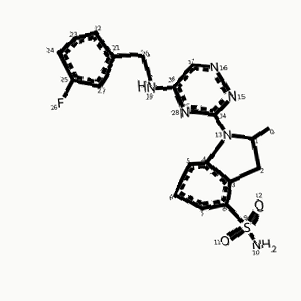 CC1Cc2c(cccc2S(N)(=O)=O)N1c1nncc(NCc2cccc(F)c2)n1